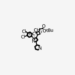 CC(C)(C)OC(=O)CC1CC(c2cc(-c3cccnc3)nn2-c2ccc(Cl)c(Cl)c2)C1(C)C